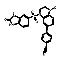 N#Cc1ccc(-c2ccc3c(c2)N(S(=O)(=O)c2ccc4[nH]c(=O)[nH]c4c2)CC[S+]3[O-])cc1